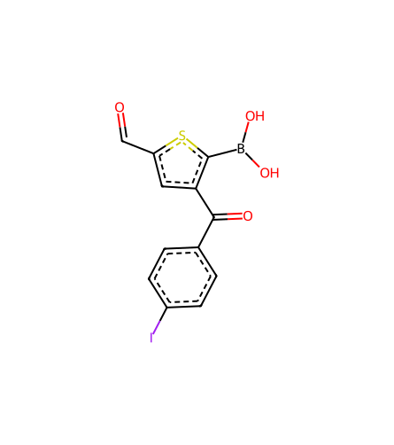 O=Cc1cc(C(=O)c2ccc(I)cc2)c(B(O)O)s1